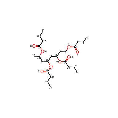 CCCC(=O)OCCC(CC(CC(C)OC(=O)CCC)OC(=O)CCC)OC(=O)CCC